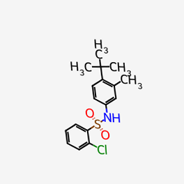 Cc1cc(NS(=O)(=O)c2ccccc2Cl)ccc1C(C)(C)C